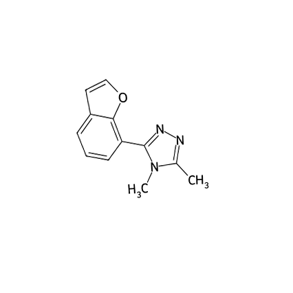 Cc1nnc(-c2cccc3ccoc23)n1C